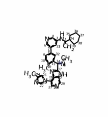 C=C(Nc1cncc(-c2ccc(C)c(/C(=N\C)c3nc4c(-n5cnc(C)c5)cncc4[nH]3)c2)c1)C1CCCCC1